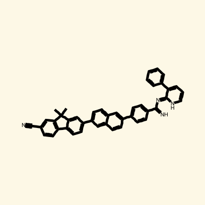 CC1(C)c2cc(C#N)ccc2-c2ccc(-c3ccc4cc(-c5ccc(C(=N)/N=c6\[nH]cccc6-c6ccccc6)cc5)ccc4c3)cc21